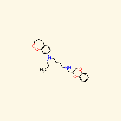 CCCN(CCCCNCC1COc2ccccc2O1)c1ccc2c(c1)OOCCC2